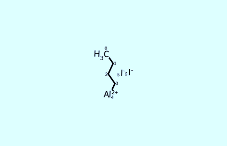 CCC[CH2][Al+2].[I-].[I-]